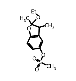 CCOC1(C)Oc2ccc(OS(C)(=O)=O)cc2C1C